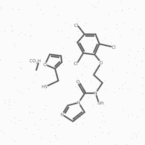 CC(=O)O.CCCN(CCOc1c(Cl)cc(Cl)cc1Cl)C(=O)n1ccnc1.SCc1ccco1